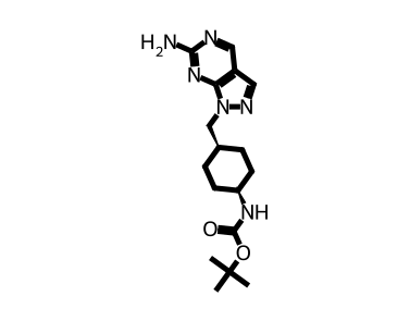 CC(C)(C)OC(=O)N[C@H]1CC[C@@H](Cn2ncc3cnc(N)nc32)CC1